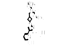 Cc1cccc(-c2cn(C3CC(CN(C(=O)OC(C)(C)C)C(=O)OC(C)(C)C)C3)nc2C(=O)O)n1